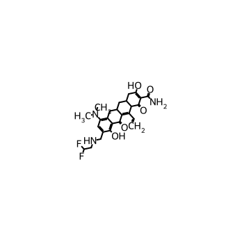 C=CC1=C2C(=O)c3c(O)c(CNCC(F)F)cc(N(C)C)c3CC2CC2CC(O)=C(C(N)=O)C(=O)C12